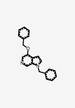 c1ccc(COc2cncc3c2ccn3Cc2ccccc2)cc1